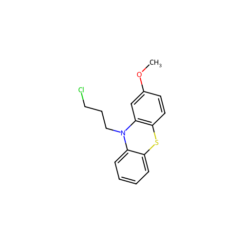 COc1ccc2c(c1)N(CCCCl)c1ccccc1S2